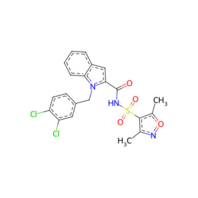 Cc1noc(C)c1S(=O)(=O)NC(=O)c1cc2ccccc2n1Cc1ccc(Cl)c(Cl)c1